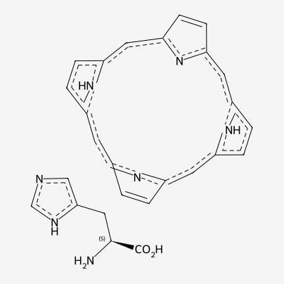 C1=Cc2cc3ccc(cc4nc(cc5ccc(cc1n2)[nH]5)C=C4)[nH]3.N[C@@H](Cc1cnc[nH]1)C(=O)O